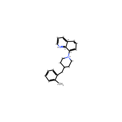 Cc1ccccc1CC1CCN(c2cccc3cccnc23)CC1